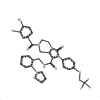 O=C(NCc1ccccc1-n1cccn1)c1c2n(c(=O)n1-c1ccc(OCC(F)(F)F)cc1)CCN(C(=O)c1ccc(Br)c(Cl)c1)C2